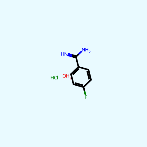 Cl.N=C(N)c1ccc(F)cc1.O